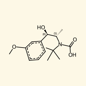 COc1cccc([C@@H](O)[C@H](C)N(C(=O)O)C(C)(C)C)c1